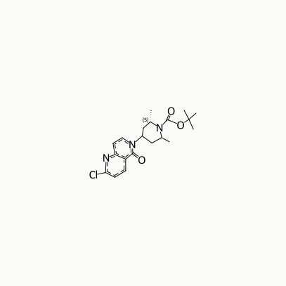 CC1CC(n2ccc3nc(Cl)ccc3c2=O)C[C@H](C)N1C(=O)OC(C)(C)C